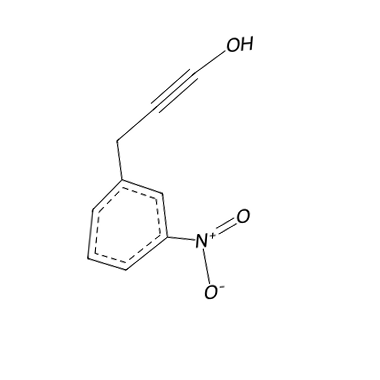 O=[N+]([O-])c1cccc(CC#CO)c1